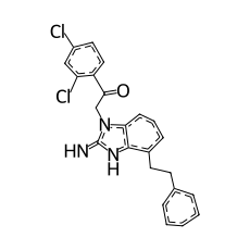 N=c1[nH]c2c(CCc3ccccc3)cccc2n1CC(=O)c1ccc(Cl)cc1Cl